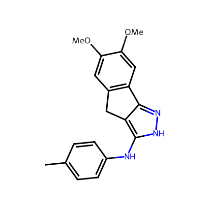 COc1cc2c(cc1OC)-c1n[nH]c(Nc3ccc(C)cc3)c1C2